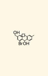 Cc1ccc(C(O)c2ccc(CO)cc2Br)c(Cl)c1